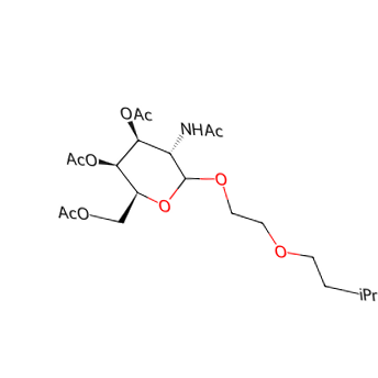 CC(=O)N[C@@H]1C(OCCOCCC(C)C)O[C@@H](COC(C)=O)[C@@H](OC(C)=O)[C@H]1OC(C)=O